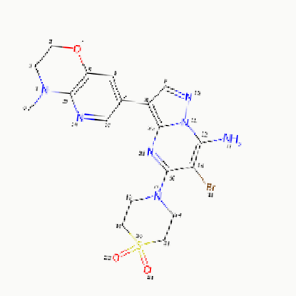 CN1CCOc2cc(-c3cnn4c(N)c(Br)c(N5CCS(=O)(=O)CC5)nc34)cnc21